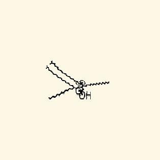 CCCCCCCCCCCCCCCCC(C(=O)OCCCCCCCCCCCCCC(C)C)C(CCC(CCCCCCCCCCCC)CCCCCCCCCCCCCC(C)C)CC(=O)O